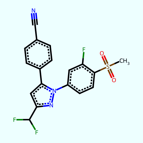 CS(=O)(=O)c1ccc(-n2nc(C(F)F)cc2-c2ccc(C#N)cc2)cc1F